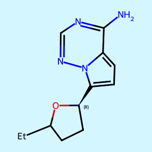 CCC1CC[C@H](c2ccc3c(N)ncnn23)O1